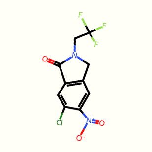 O=C1c2cc(Cl)c([N+](=O)[O-])cc2CN1CC(F)(F)F